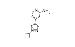 Nc1cc(-c2cnn(C3CCC3)c2)ccn1